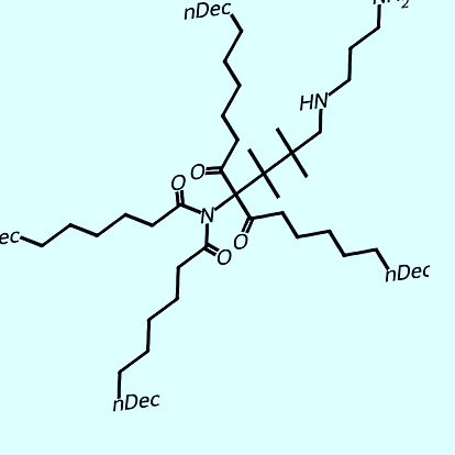 CCCCCCCCCCCCCCCC(=O)N(C(=O)CCCCCCCCCCCCCCC)C(C(=O)CCCCCCCCCCCCCCC)(C(=O)CCCCCCCCCCCCCCC)C(C)(C)C(C)(C)CNCCCN